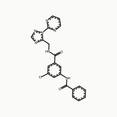 O=C(NCc1ncnn1-c1ncccn1)c1cc(Cl)cc(NC(=O)c2ccccc2)c1